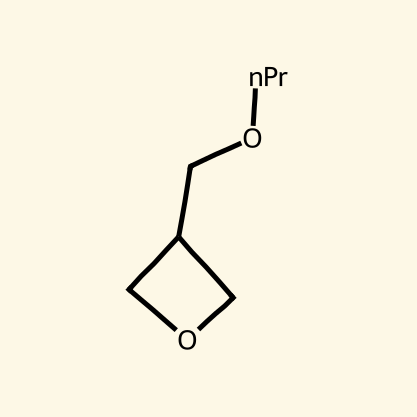 CCCOCC1COC1